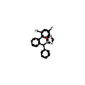 Clc1cc(Cl)c(-c2ccccc2C(c2ccccc2)n2cncn2)c(Cl)c1